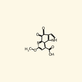 COc1cc(C(=O)O)c2c(n1)C(=O)C(=O)c1cc[nH]c1-2